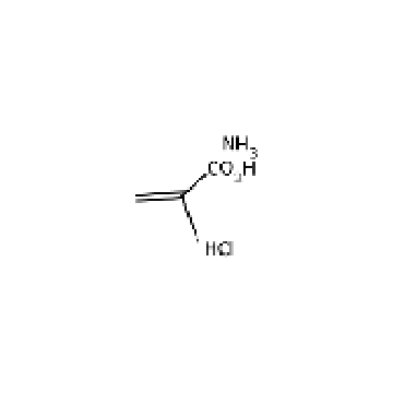 C=C(C)C(=O)O.Cl.N